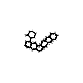 O=C1CCCCC1c1cccc2cc3ccc4cc5cc6ccccc6cc5cc4c3cc12